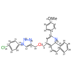 COc1ccc(-c2cc(COCc3cn(-c4ccc(Cl)cc4)nn3)c3ccc4ccccc4c3n2)cc1